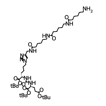 CC(C)(C)OC(=O)CC[C@H](NC(=O)N[C@@H](CCCCn1cc(CNC(=O)CCCCCNC(=O)CCCCCNC(=O)CCCCCN)nn1)C(=O)OC(C)(C)C)C(=O)OC(C)(C)C